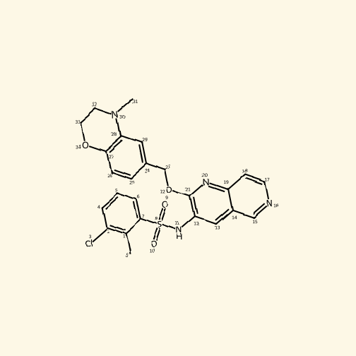 Cc1c(Cl)cccc1S(=O)(=O)Nc1cc2cnccc2nc1OCc1ccc2c(c1)N(C)CCO2